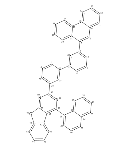 c1cc(-c2cccc(-c3cc4ccccc4c4ccccc34)c2)cc(-c2nc(-c3cccc4ccccc34)c3c(n2)oc2ccccc23)c1